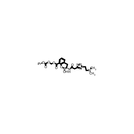 CC(C)OC(=O)OCOC(=O)c1cccc2c1OB(O)[C@@H](NC(=O)Cc1nnn(CCN(C)C)n1)C2